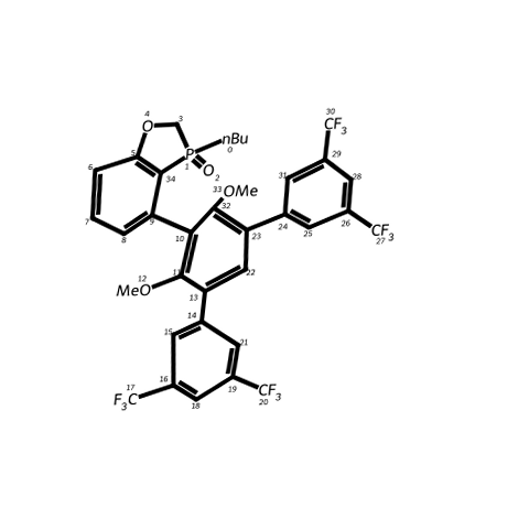 CCCCP1(=O)COc2cccc(-c3c(OC)c(-c4cc(C(F)(F)F)cc(C(F)(F)F)c4)cc(-c4cc(C(F)(F)F)cc(C(F)(F)F)c4)c3OC)c21